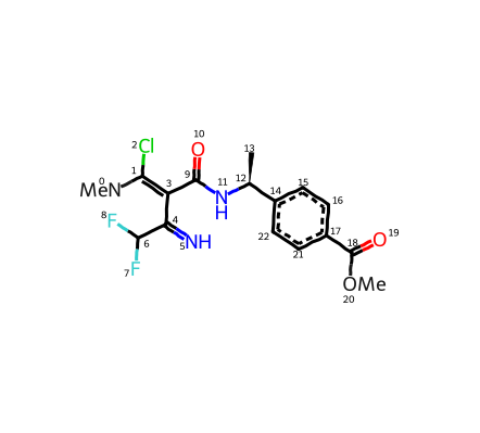 CN/C(Cl)=C(\C(=N)C(F)F)C(=O)N[C@@H](C)c1ccc(C(=O)OC)cc1